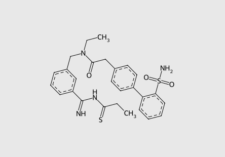 CCC(=S)NC(=N)c1cccc(CN(CC)C(=O)Cc2ccc(-c3ccccc3S(N)(=O)=O)cc2)c1